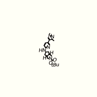 Cc1nn(C)cc1-c1ccc(NC2C[C@@H]3CN(C(=O)OC(C)(C)C)C[C@@H]3C2)nc1